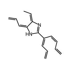 C=C/C=C\C(=C/C=C)c1nc(=C/C)/c(=C\C=C)[nH]1